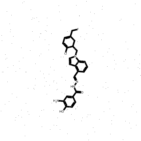 Nc1cc(C(=O)N/N=C/c2cccc3c2ccn3CC2CC(CF)=CC=C2Cl)ccc1O